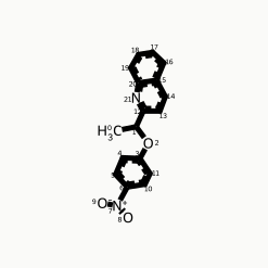 CC(Oc1ccc([N+](=O)[O-])cc1)c1ccc2ccccc2n1